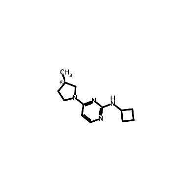 C[C@@H]1CCN(c2ccnc(NC3CCC3)n2)C1